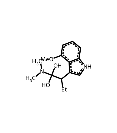 CCC(c1c[nH]c2cccc(OC)c12)C(O)(O)N(C)C